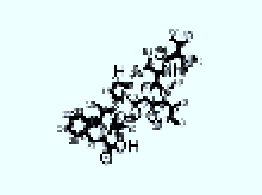 CCC(C)C(C(CC(=O)N1CCC[C@H]1C(OC)C(C)C(=O)N(C(Cc1ccccc1)C(=O)O)C(C)(C)C)OC)N(C)C(=O)C(NC(=O)C(C(C)C)N(C)C)C(C)N